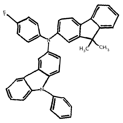 CC1(C)c2ccccc2-c2ccc(N(c3ccc(F)cc3)c3ccc4c(c3)c3ccccc3n4-c3ccccc3)cc21